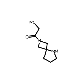 CC(C)CC(=O)N1CC2(C1)NCCS2